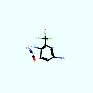 N=C=O.Nc1ccc(N)c(C(F)(F)F)c1